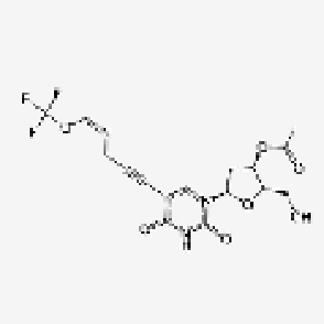 CC(=O)O[C@@H]1C[C@H](n2cc(C#CC/N=C\OC(F)(F)F)c(=O)[nH]c2=O)O[C@@H]1CO